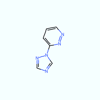 c1cnnc(-n2cncn2)c1